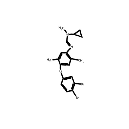 Cc1cc(Oc2ccc(Br)c(Br)c2)c(C)cc1N=CN(C)C1CC1